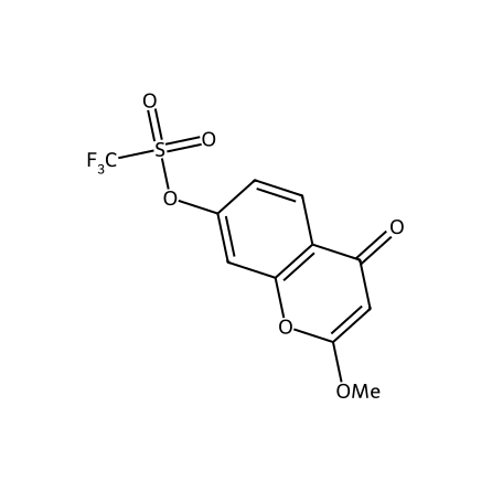 COc1cc(=O)c2ccc(OS(=O)(=O)C(F)(F)F)cc2o1